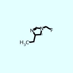 CCC1[C]N(CF)[C]=N1